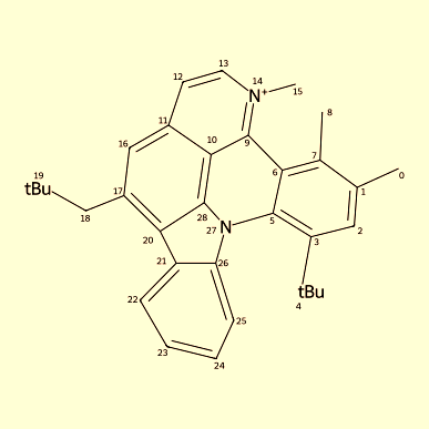 Cc1cc(C(C)(C)C)c2c(c1C)c1c3c(cc[n+]1C)cc(CC(C)(C)C)c1c4ccccc4n2c13